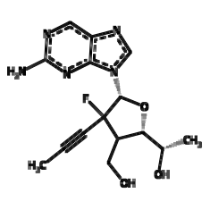 CC#CC1(F)C(CO)[C@@H]([C@H](C)O)O[C@H]1n1cnc2cnc(N)nc21